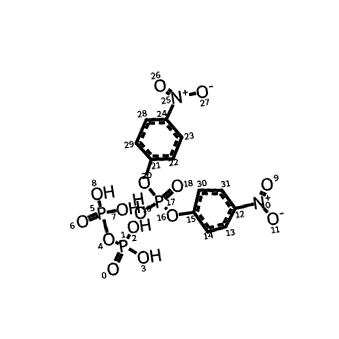 O=P(O)(O)OP(=O)(O)O.O=[N+]([O-])c1ccc(OP(=O)(O)Oc2ccc([N+](=O)[O-])cc2)cc1